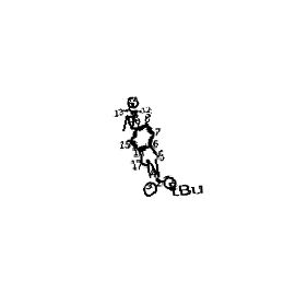 CC(C)(C)OC(=O)N1Cc2ccc(N=S(C)(C)=O)cc2C1